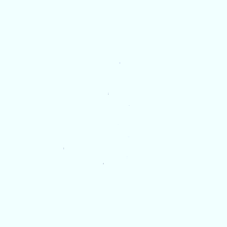 CCC(/C=C\CF)CCCI